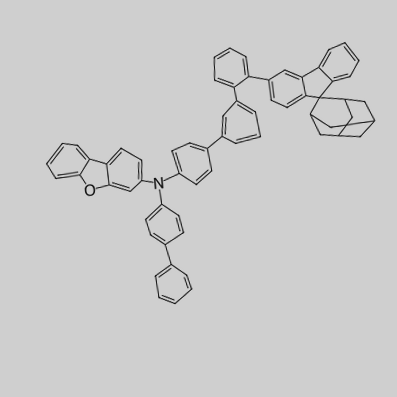 c1ccc(-c2ccc(N(c3ccc(-c4cccc(-c5ccccc5-c5ccc6c(c5)-c5ccccc5C65C6CC7CC(C6)CC5C7)c4)cc3)c3ccc4c(c3)oc3ccccc34)cc2)cc1